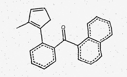 CC1=C(c2ccccc2C(=O)c2cccc3ccccc23)CC=C1